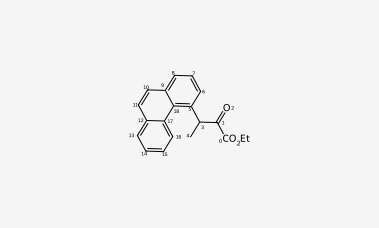 CCOC(=O)C(=O)C(C)c1cccc2ccc3ccccc3c12